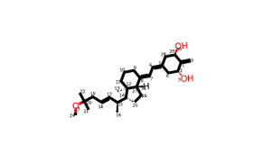 C=C1[C@H](O)CC(=C/C=C2\CCC[C@]3(C)[C@@H]([C@@H](C)/C=C/CC(C)(C)OC)CC[C@@H]23)C[C@H]1O